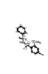 COc1cc(C)ccc1S(=O)(=O)NC(C)(C)c1ccccc1